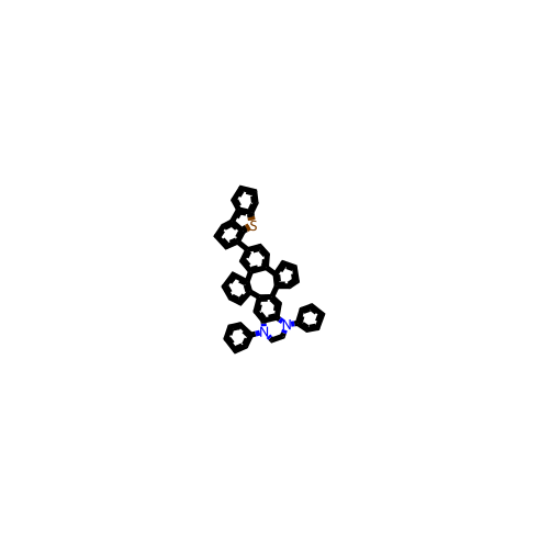 c1ccc(N2CCN(c3ccccc3)c3cc4c(cc32)-c2ccccc2-c2ccc(-c3cccc5c3sc3ccccc35)cc2-c2ccccc2-4)cc1